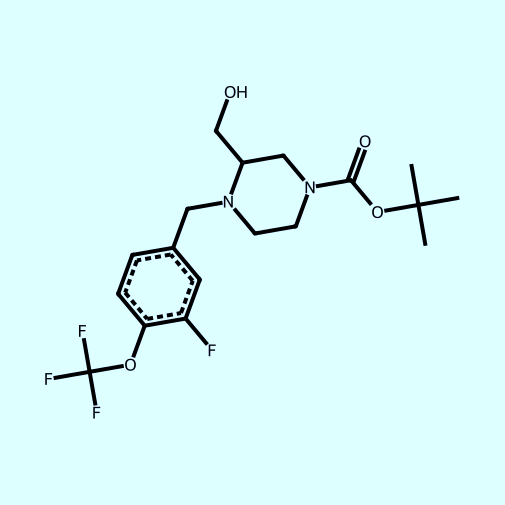 CC(C)(C)OC(=O)N1CCN(Cc2ccc(OC(F)(F)F)c(F)c2)C(CO)C1